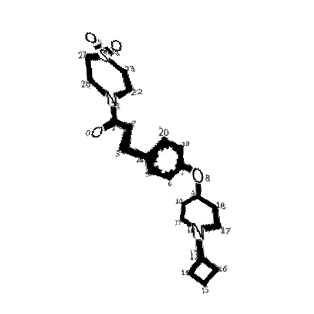 O=C(C=Cc1ccc(OC2CCN(C3CCC3)CC2)cc1)N1CCS(=O)(=O)CC1